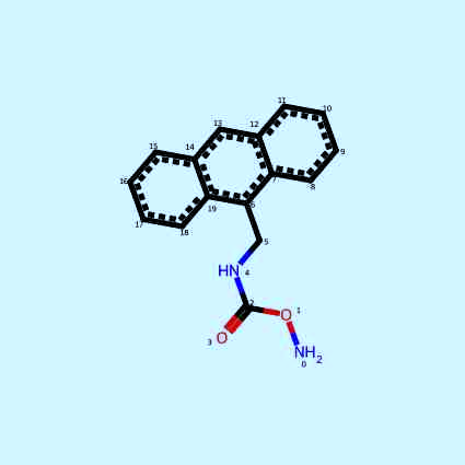 NOC(=O)NCc1c2ccccc2cc2ccccc12